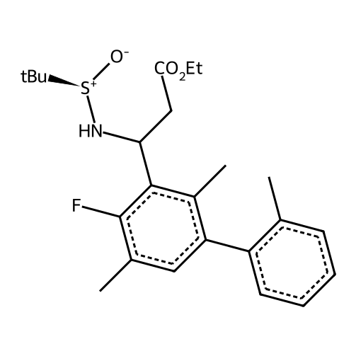 CCOC(=O)CC(N[S@+]([O-])C(C)(C)C)c1c(C)c(-c2ccccc2C)cc(C)c1F